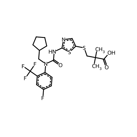 CC(C)(CSc1cnc(NC(=O)N(CC2CCCC2)c2ccc(F)cc2C(F)(F)F)s1)C(=O)O